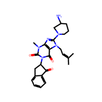 CC(C)=CCn1c(N2CCCC(N)C2)nc2c1c(=O)n(C1Cc3ccccc3C1=O)c(=O)n2C